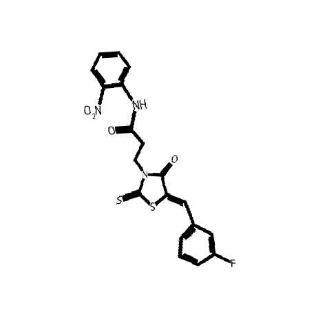 O=C(CCN1C(=O)/C(=C/c2cccc(F)c2)SC1=S)Nc1ccccc1[N+](=O)[O-]